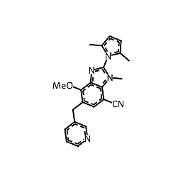 COc1c(Cc2cccnc2)cc(C#N)c2c1nc(-n1c(C)ccc1C)n2C